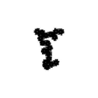 c1ccc(-c2cccc(-n3c4ccccc4c4cc(-c5ccc6c(c5)c5ccc7c8ccccc8sc7c5n6-c5cccc(-c6cccc(-c7cccc(-c8cccc(-n9c%10ccccc%10c%10cc(-c%11ccc%12c(c%11)c%11ccc%13sc%14ccccc%14c%13c%11n%12-c%11cccc(-c%12ccccc%12)c%11)ccc%109)c8)c7)c6)c5)ccc43)c2)cc1